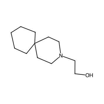 OCCN1CCC2(CCCCC2)CC1